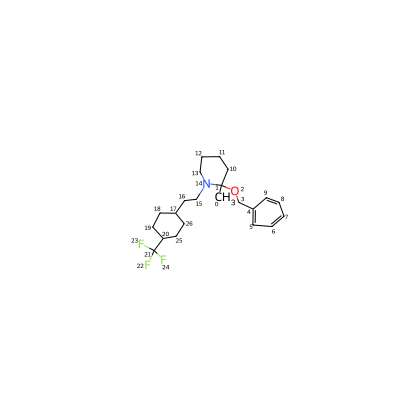 CC1(OCc2ccccc2)CCCCN1CCC1CCC(C(F)(F)F)CC1